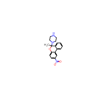 CC1(N2CCNCC2)Oc2ccc([N+](=O)[O-])cc2-c2ccccc21